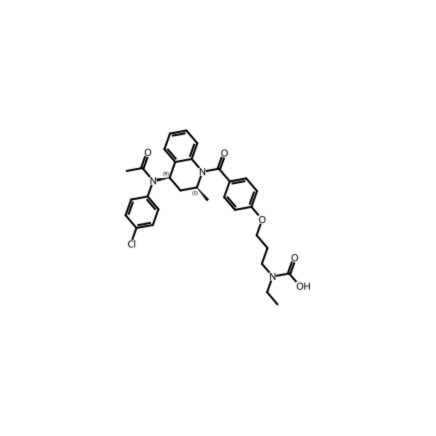 CCN(CCCOc1ccc(C(=O)N2c3ccccc3[C@H](N(C(C)=O)c3ccc(Cl)cc3)C[C@@H]2C)cc1)C(=O)O